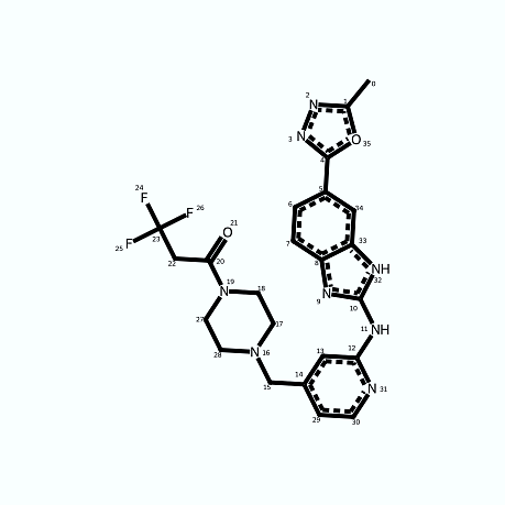 Cc1nnc(-c2ccc3nc(Nc4cc(CN5CCN(C(=O)CC(F)(F)F)CC5)ccn4)[nH]c3c2)o1